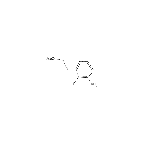 COCOc1cccc(N)c1I